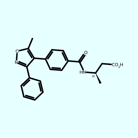 Cc1onc(-c2ccccc2)c1-c1ccc(C(=O)N[C@H](C)CC(=O)O)cc1